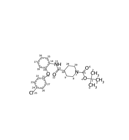 CC(C)(C)OC(=O)N1CCC(C(=O)Nc2ccccc2Oc2ccc(Cl)cc2)CC1